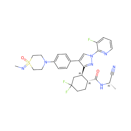 CN=S1(=O)CCN(c2ccc(-c3cn(-c4ncccc4F)nc3[C@@H]3CC(F)(F)CC[C@H]3C(=O)N[C@@H](C)C#N)cc2)CC1